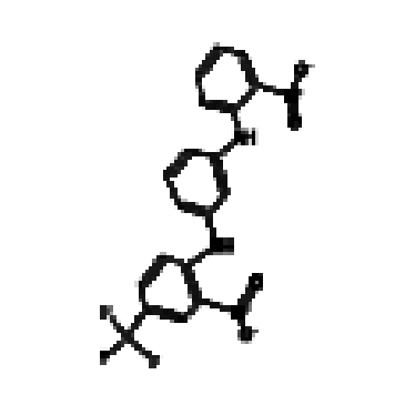 O=[N+]([O-])c1ccccc1Nc1cccc(Nc2ccc(C(F)(F)F)cc2[N+](=O)[O-])c1